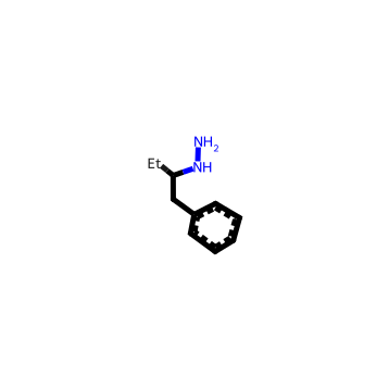 CCC(Cc1ccccc1)NN